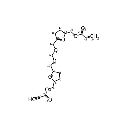 C#CC(=O)OCC1CCC(COCOCC2CCC(COC(=O)C=C)O2)O1